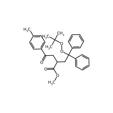 COC(=O)C(CC(=O)c1ccc(C)cc1)CC(OOC(C)(C)C)(c1ccccc1)c1ccccc1